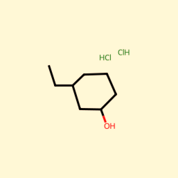 CCC1CCCC(O)C1.Cl.Cl